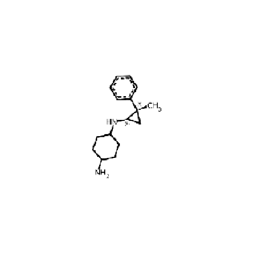 C[C@@]1(c2ccccc2)C[C@H]1NC1CCC(N)CC1